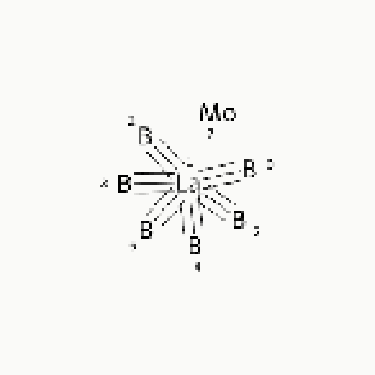 [B]#[La](#[B])(#[B])(#[B])(#[B])#[B].[Mo]